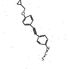 S=C=Nc1ccc(C#Cc2ccc(OCC3CC3)cc2)cc1